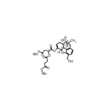 CN1CC[C@]23c4c5ccc(CO)c4O[C@H]2C(OC(=O)[C@H](CC(=O)OC(C)(C)C)OC(=O)CCC(=O)OC(C)(C)C)=CC[C@@]3(O)[C@H]1C5